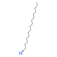 CCCCCCCCCCCCCCCCC#N